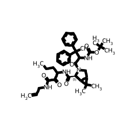 C=CCNC(=O)C(=O)C(CCC)NC(=O)[C@@H]1C2C(CN1C(=O)C(NC(=O)OC(C)(C)C)C(C)(c1ccccc1)c1ccccc1)C2(C)C